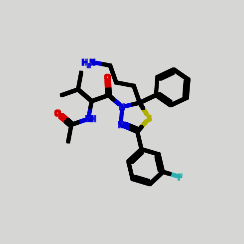 CC(=O)NC(C(=O)N1N=C(c2cccc(F)c2)SC1(CCCN)c1ccccc1)C(C)C